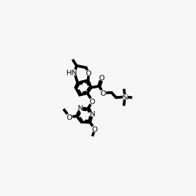 COc1cc(OC)nc(Oc2ccc3c(c2C(=O)OCC[Si](C)(C)C)OCC(C)N3)n1